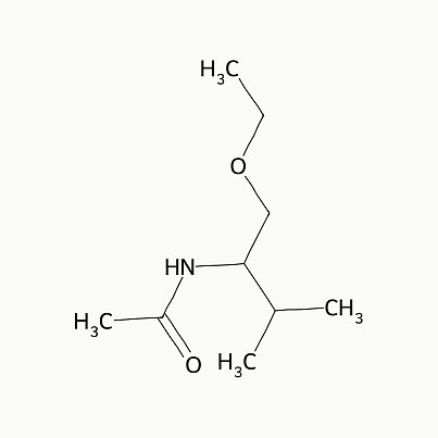 CCOCC(NC(C)=O)C(C)C